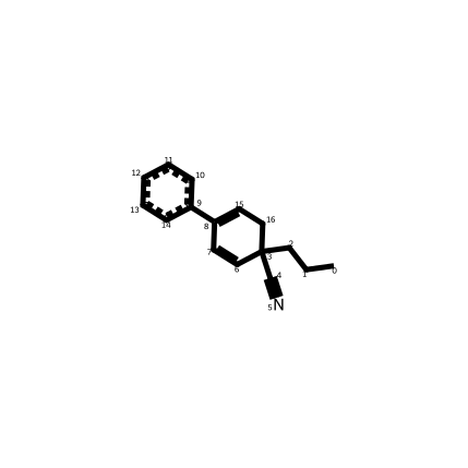 CCCC1(C#N)C=CC(c2ccccc2)=CC1